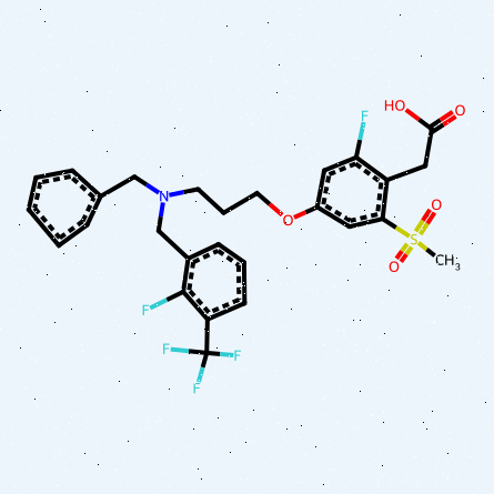 CS(=O)(=O)c1cc(OCCCN(Cc2ccccc2)Cc2cccc(C(F)(F)F)c2F)cc(F)c1CC(=O)O